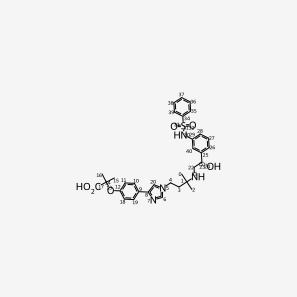 CC(C)(CCn1cnc(-c2ccc(OC(C)(C)C(=O)O)cc2)c1)NC[C@@H](O)c1cccc(NS(=O)(=O)c2ccccc2)c1